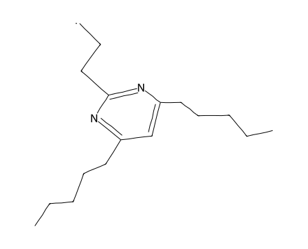 [CH2]CCc1nc(CCCCC)cc(CCCCC)n1